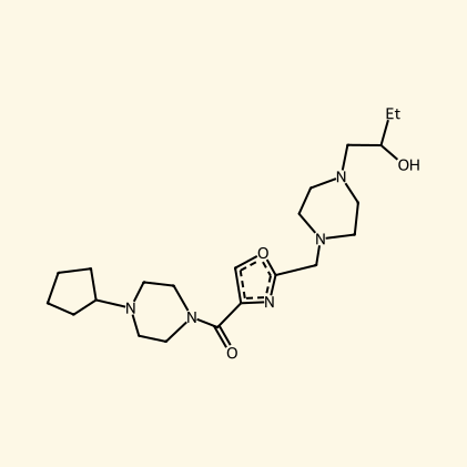 CCC(O)CN1CCN(Cc2nc(C(=O)N3CCN(C4CCCC4)CC3)co2)CC1